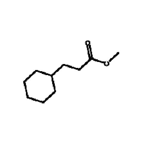 COC(=O)CCC1CCCCC1